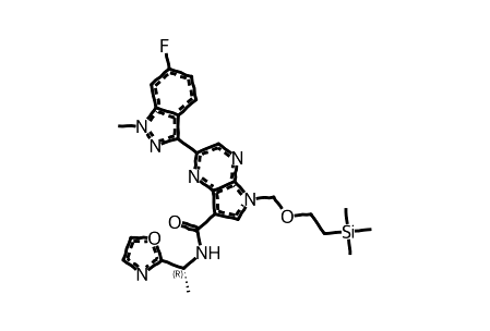 C[C@@H](NC(=O)c1cn(COCC[Si](C)(C)C)c2ncc(-c3nn(C)c4cc(F)ccc34)nc12)c1ncco1